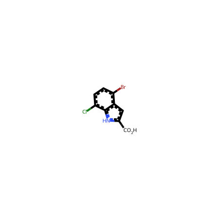 O=C(O)c1cc2c(Br)ccc(Cl)c2[nH]1